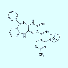 N=C(NC1N=C(c2ccccc2)c2ccccc2NC1=O)OC(=N)c1cnc(C(F)(F)F)nc1N1CC2CC(C1)O2